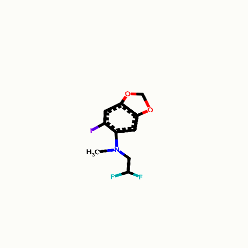 CN(CC(F)F)c1cc2c(cc1I)OCO2